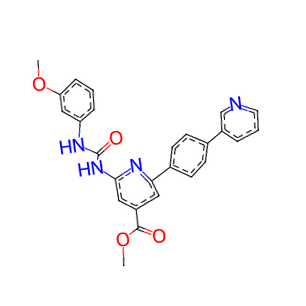 COC(=O)c1cc(NC(=O)Nc2cccc(OC)c2)nc(-c2ccc(-c3cccnc3)cc2)c1